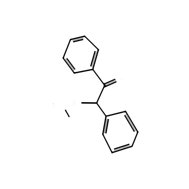 COC(C)=O.O=C(c1ccccc1)C(O)c1ccccc1